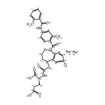 Cc1ccccc1C(=O)Nc1ccc(C(=O)N2CCCC(OC(=O)N[C@@H](CCC(=O)[O-])C(=O)[O-])c3cc(Cl)ccc32)c(C)c1.[Na+].[Na+]